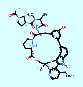 CCn1c(-c2cnccc2COC)c2c3cc(ccc31)-c1cc(O)cc(c1)C[C@H](NC(=O)C(C(C)C)N(C)C(=O)[C@H]1CCN(C(=O)C(C)C)C1)C(=O)N1CCC[C@H](N1)C(=O)OCC(C)(C)C2